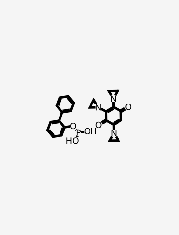 O=C1C=C(N2CC2)C(=O)C(N2CC2)=C1N1CC1.OP(O)Oc1ccccc1-c1ccccc1